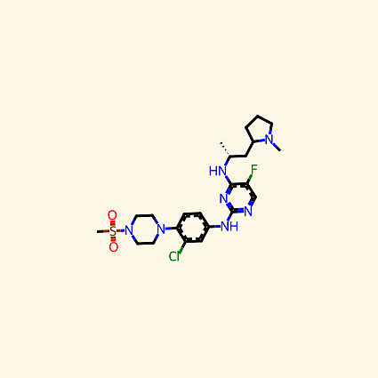 C[C@H](CC1CCCN1C)Nc1nc(Nc2ccc(N3CCN(S(C)(=O)=O)CC3)c(Cl)c2)ncc1F